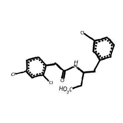 O=C(O)CC(Cc1cccc(Cl)c1)NC(=O)Cc1ccc(Cl)cc1Cl